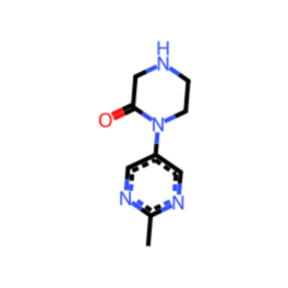 Cc1ncc(N2CCNCC2=O)cn1